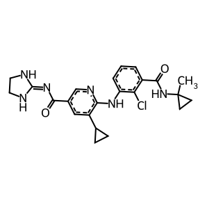 CC1(NC(=O)c2cccc(Nc3ncc(C(=O)N=C4NCCN4)cc3C3CC3)c2Cl)CC1